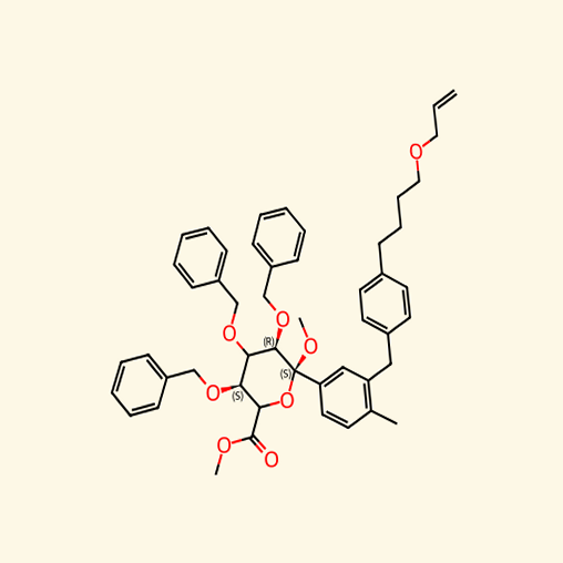 C=CCOCCCCc1ccc(Cc2cc([C@]3(OC)OC(C(=O)OC)[C@@H](OCc4ccccc4)C(OCc4ccccc4)[C@H]3OCc3ccccc3)ccc2C)cc1